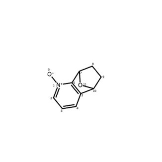 [O-][n+]1cccc2c1C1CCC2O1